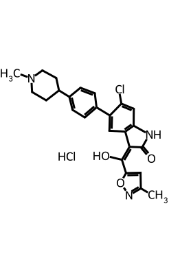 Cc1cc(C(O)=C2C(=O)Nc3cc(Cl)c(-c4ccc(C5CCN(C)CC5)cc4)cc32)on1.Cl